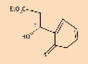 CCOC(=O)C[C@@H](O)C1=CC=CCC1=S